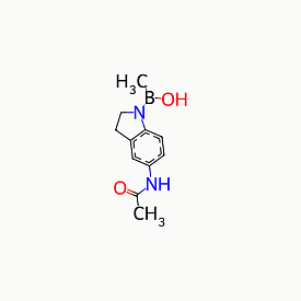 CB(O)N1CCc2cc(NC(C)=O)ccc21